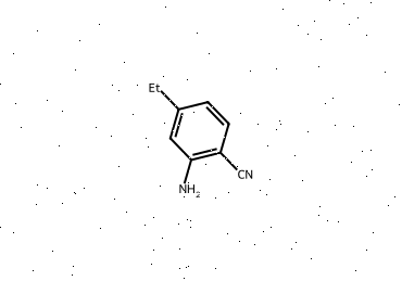 CCc1ccc(C#N)c(N)c1